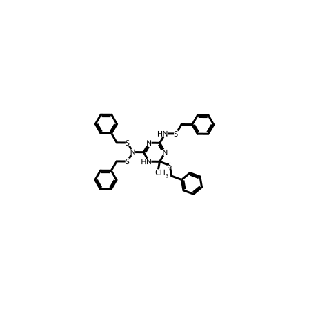 CC1(SCc2ccccc2)N=C(NSCc2ccccc2)N=C(N(SCc2ccccc2)SCc2ccccc2)N1